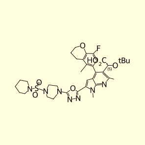 Cc1nc2c(cc(-c3nnc(N4CCN(S(=O)(=O)N5CCCCC5)CC4)o3)n2C)c(-c2cc(F)c3c(c2C)CCCO3)c1[C@H](OC(C)(C)C)C(=O)O